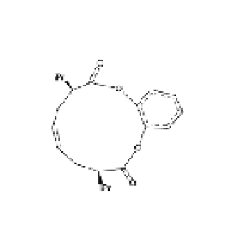 CC(C)[C@@H]1C/C=C\C[C@H](C(C)C)C(=O)Oc2ccccc2OC1=O